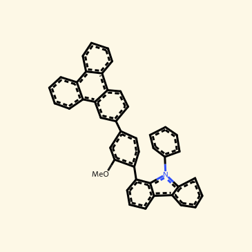 COc1cc(-c2ccc3c4ccccc4c4ccccc4c3c2)ccc1-c1cccc2c3ccccc3n(-c3ccccc3)c12